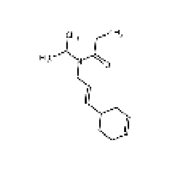 CCC(=O)N(C/C=C/C1CC=CCC1)C(C)C